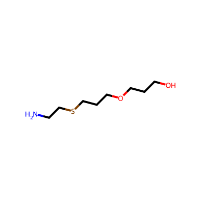 NCCSCCCOCCCO